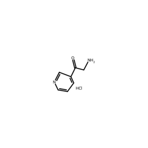 Cl.NCC(=O)c1cccnc1